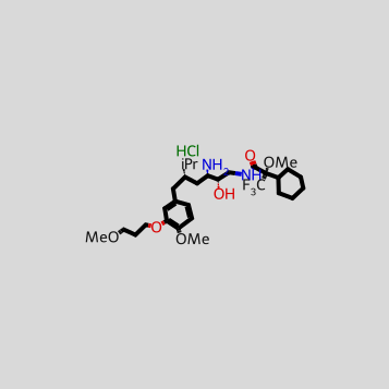 COCCCOc1cc(C[C@@H](C[C@H](N)[C@@H](O)CNC(=O)[C@](OC)(C2CCCCC2)C(F)(F)F)C(C)C)ccc1OC.Cl